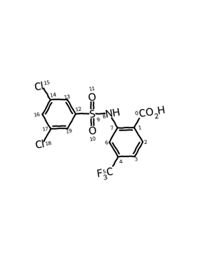 O=C(O)c1ccc(C(F)(F)F)cc1NS(=O)(=O)c1cc(Cl)cc(Cl)c1